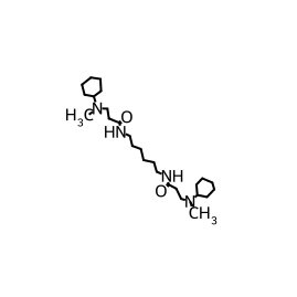 CN(CCC(=O)NCCCCCCNC(=O)CCN(C)C1CCCCC1)C1CCCCC1